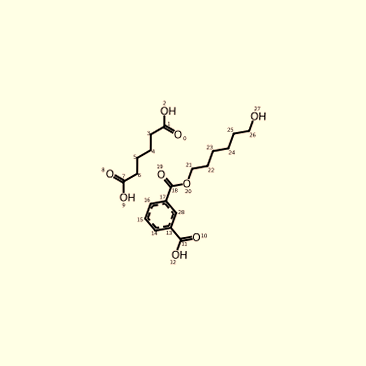 O=C(O)CCCCC(=O)O.O=C(O)c1cccc(C(=O)OCCCCCCO)c1